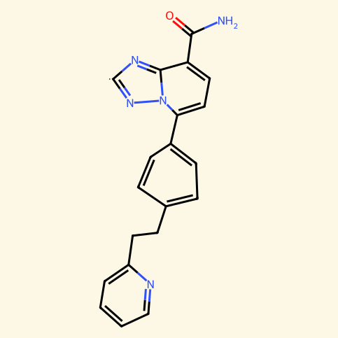 NC(=O)c1ccc(-c2ccc(CCc3ccccn3)cc2)n2n[c]nc12